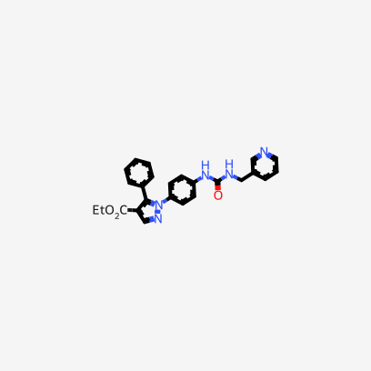 CCOC(=O)c1cnn(-c2ccc(NC(=O)NCc3cccnc3)cc2)c1-c1ccccc1